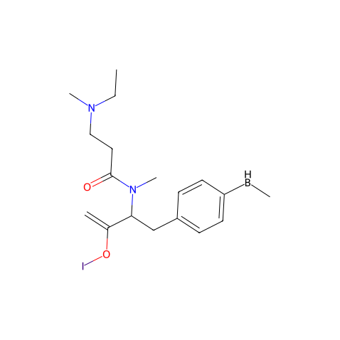 C=C(OI)C(Cc1ccc(BC)cc1)N(C)C(=O)CCN(C)CC